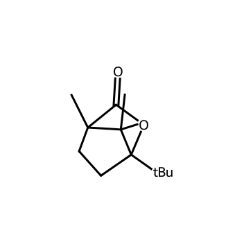 CC(C)(C)C12CCC(C)(C(=O)O1)C2(C)C